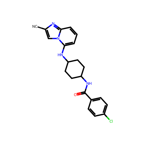 N#Cc1cn2c(NC3CCC(NC(=O)c4ccc(Cl)cc4)CC3)cccc2n1